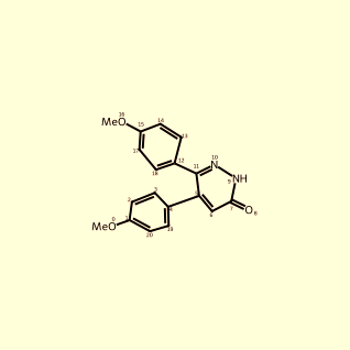 COc1ccc(-c2cc(=O)[nH]nc2-c2ccc(OC)cc2)cc1